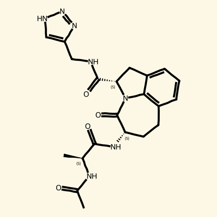 CC(=O)N[C@@H](C)C(=O)N[C@H]1CCc2cccc3c2N(C1=O)[C@H](C(=O)NCc1c[nH]nn1)C3